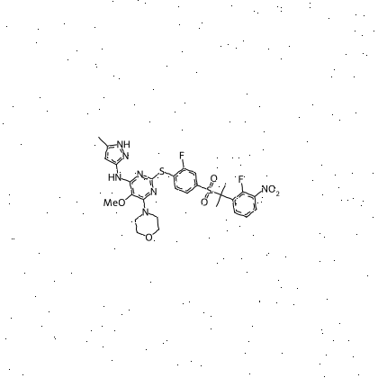 COc1c(Nc2cc(C)[nH]n2)nc(Sc2ccc(S(=O)(=O)C(C)(C)c3cccc([N+](=O)[O-])c3F)cc2F)nc1N1CCOCC1